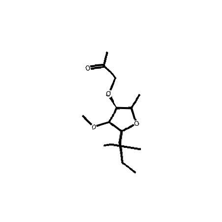 CCC(C)(C)C1OC(C)[C@H](OCC(C)=O)C1OC